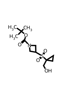 CC(C)(C)OC(=O)N1CC(S(=O)(=O)C2(CO)CC2)C1